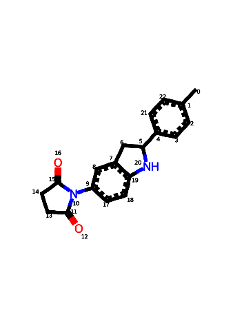 Cc1ccc(C2Cc3cc(N4C(=O)CCC4=O)ccc3N2)cc1